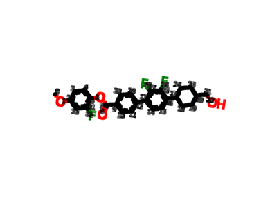 COc1ccc(OC(=O)c2ccc(-c3ccc(C4CCC(CO)CC4)c(F)c3F)cc2)c(F)c1